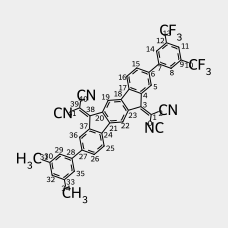 [C-]#[N+]/C(C#N)=C1/c2cc(-c3cc(C(F)(F)F)cc(C(F)(F)F)c3)ccc2-c2cc3c(cc21)-c1ccc(-c2cc(C)cc(C)c2)cc1/C3=C(/C#N)[N+]#[C-]